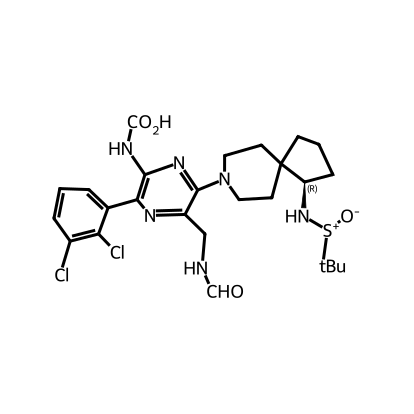 CC(C)(C)[S+]([O-])N[C@@H]1CCCC12CCN(c1nc(NC(=O)O)c(-c3cccc(Cl)c3Cl)nc1CNC=O)CC2